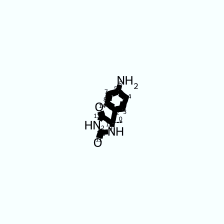 C[C@]1(c2ccc(N)cc2)NC(=O)NC1=O